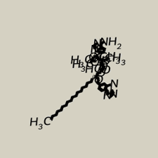 CCCCCCCCCCCCCCCCCCC[C@H](COP(=O)(O)OC[C@@](C)(OC)[C@H]1OC(C)(C)O[C@H]1c1ccc2c(N)ncnn12)OCc1ccc(-n2cncn2)c(C#N)c1